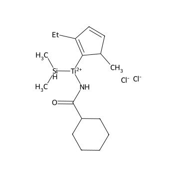 CCC1=[C]([Ti+2]([NH]C(=O)C2CCCCC2)[SiH](C)C)C(C)C=C1.[Cl-].[Cl-]